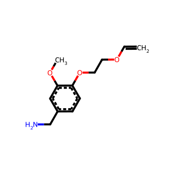 C=COCCOc1ccc(CN)cc1OC